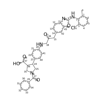 Cc1cccc(Cl)c1Nc1nc2ccc(CC(=O)CNc3ccc(C4CN(C(=O)c5ccccc5)CC4C(=O)O)cc3)cc2o1